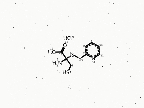 Cl.NC(CS)(SSc1ccccn1)C(=O)O